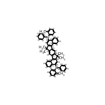 Cc1ccccc1N(c1ccccc1)c1cc2c(c3ccccc13)-c1cc3c(cc1C2(C)C)-c1c(cc(N(c2ccccc2)c2ccccc2C)c2ccccc12)C3(C)C